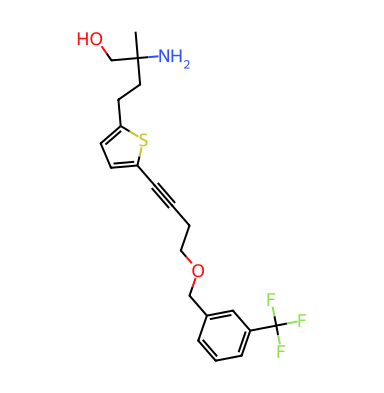 CC(N)(CO)CCc1ccc(C#CCCOCc2cccc(C(F)(F)F)c2)s1